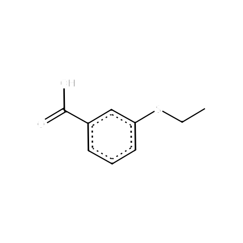 CCSc1cccc(C(=O)O)c1